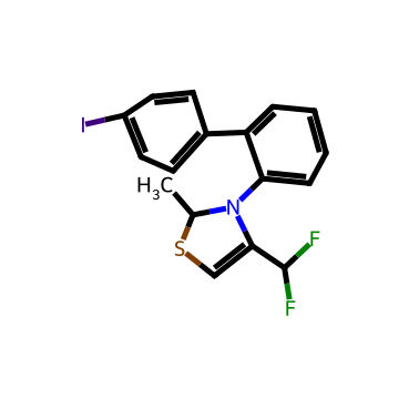 CC1SC=C(C(F)F)N1c1ccccc1-c1ccc(I)cc1